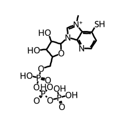 C[n+]1cn(C2OC(COP(=O)(O)OP(=O)(O)OP(=O)(O)O)C(O)C2O)c2nccc(S)c21